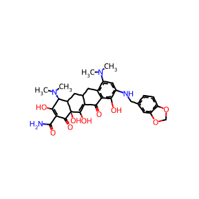 CN(C)c1cc(NCc2ccc3c(c2)OCO3)c(O)c2c1CC1CC3[C@H](N(C)C)C(O)=C(C(N)=O)C(=O)[C@@]3(O)C(O)=C1C2=O